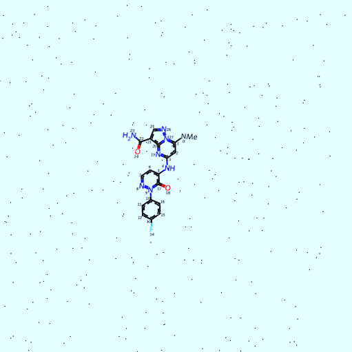 CNc1cc(Nc2ccnn(-c3ccc(F)cc3)c2=O)nc2c(C(N)=O)cnn12